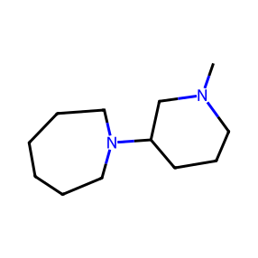 CN1CCCC(N2CCCCCC2)C1